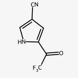 N#Cc1c[nH]c(C(=O)C(F)(F)F)c1